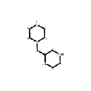 C1CSC(CN2CCOCC2)CN1